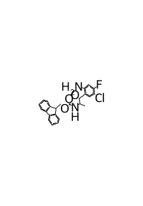 CC(NC(=O)OCC1c2ccccc2-c2ccccc21)C(=O)c1cc(Cl)c(F)cc1N